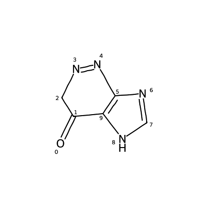 O=C1CN=Nc2nc[nH]c21